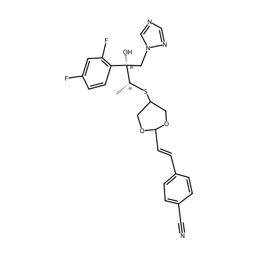 C[C@@H](SC1COC(C=Cc2ccc(C#N)cc2)OC1)[C@](O)(Cn1cncn1)c1ccc(F)cc1F